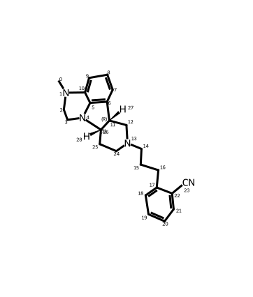 CN1CCN2c3c(cccc31)[C@@H]1CN(CCCc3ccccc3C#N)CC[C@@H]12